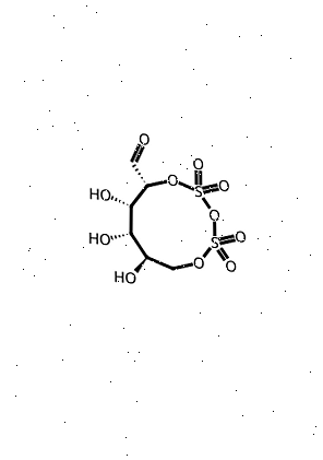 O=C[C@@H]1OS(=O)(=O)OS(=O)(=O)OC[C@@H](O)[C@H](O)[C@@H]1O